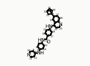 O=C(Nc1ccc(Nc2ccncc2)cc1)c1ccc(Nc2ccnc3ccc(C45CCC(C4)C5)cc23)cc1